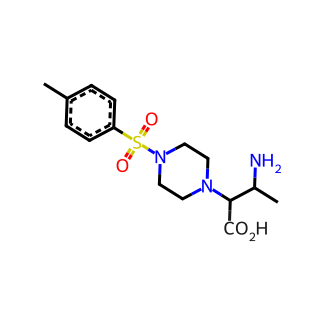 Cc1ccc(S(=O)(=O)N2CCN(C(C(=O)O)C(C)N)CC2)cc1